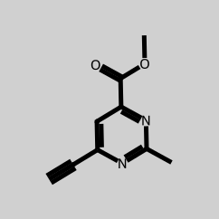 C#Cc1cc(C(=O)OC)nc(C)n1